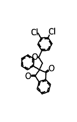 O=C(CC1(c2ccccc2)C(=O)c2ccccc2C1=O)c1ccc(Cl)c(Cl)c1